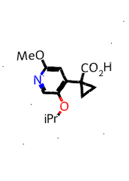 COc1cc(C2(C(=O)O)CC2)c(OC(C)C)cn1